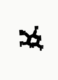 Fc1nc(F)c(Br)c(F)n1